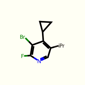 CC(C)c1cnc(F)c(Br)c1C1CC1